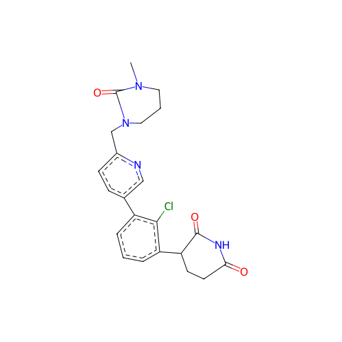 CN1CCCN(Cc2ccc(-c3cccc(C4CCC(=O)NC4=O)c3Cl)cn2)C1=O